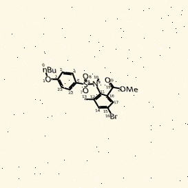 CCCCOc1ccc(S(=O)(=O)N(C)c2c(C)cc(Br)cc2C(=O)OC)cc1